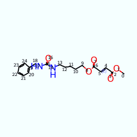 COC(=O)/C=C/C(=O)OCCCCCNC(=O)NCc1ccccc1